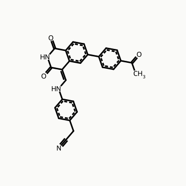 CC(=O)c1ccc(-c2ccc3c(c2)/C(=C/Nc2ccc(CC#N)cc2)C(=O)NC3=O)cc1